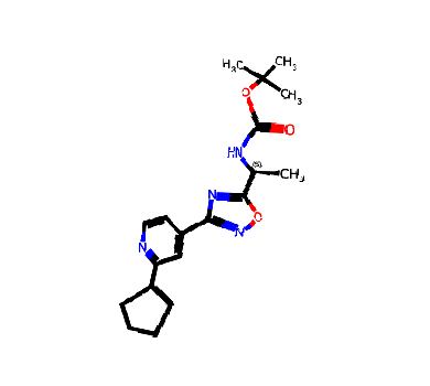 C[C@H](NC(=O)OC(C)(C)C)c1nc(-c2ccnc(C3CCCC3)c2)no1